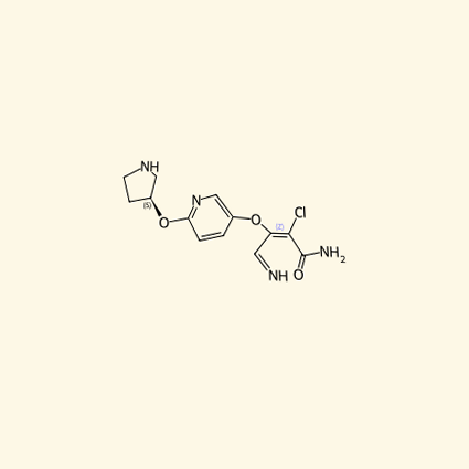 N=C/C(Oc1ccc(O[C@H]2CCNC2)nc1)=C(/Cl)C(N)=O